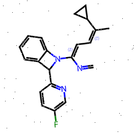 C=N/C(=C\C=C(\C)C1CC1)N1c2ccccc2C1c1ccc(F)cn1